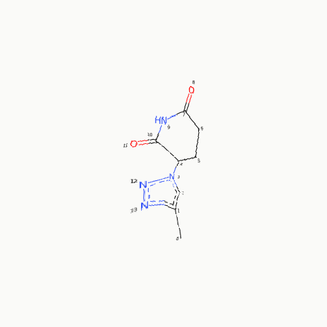 Cc1cn(C2CCC(=O)NC2=O)nn1